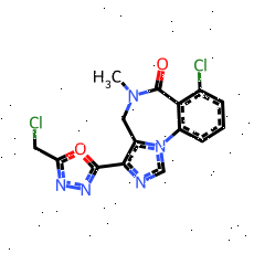 CN1Cc2c(-c3nnc(CCl)o3)ncn2-c2cccc(Cl)c2C1=O